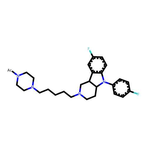 CC(=O)N1CCN(CCCCCN2CCC3C(C2)c2cc(F)ccc2N3c2ccc(F)cc2)CC1